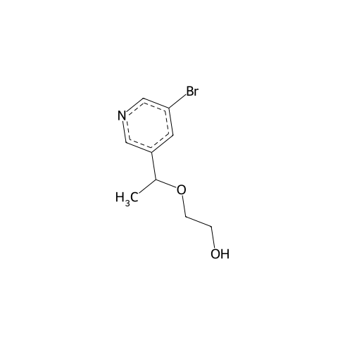 CC(OCCO)c1cncc(Br)c1